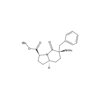 CC(=O)N[C@@]1(Cc2ccccc2)CC[C@H]2CC[C@@H](C(=O)OC(C)(C)C)N2C1=O